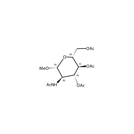 CO[C@@H]1O[C@H](COC(C)=O)[C@@H](OC(C)=O)[C@H](OC(C)=O)[C@H]1NC(C)=O